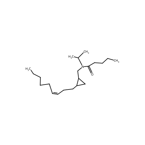 CCCCC/C=C\CCC1CC1CN(C(=O)CCCC)C(C)C